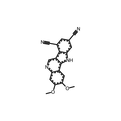 COc1cc2ncc3c([nH]c4cc(C#N)cc(C#N)c43)c2cc1OC